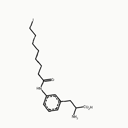 NC(Cc1cccc(NC(=O)CCCCCCCI)c1)C(=O)O